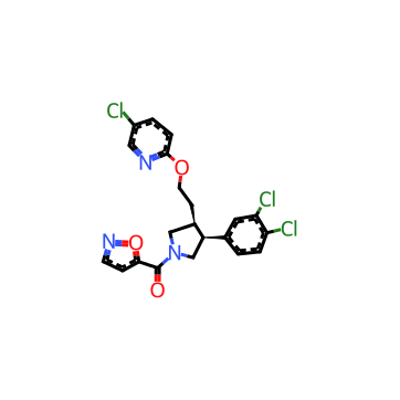 O=C(c1ccno1)N1C[C@@H](CCOc2ccc(Cl)cn2)[C@@H](c2ccc(Cl)c(Cl)c2)C1